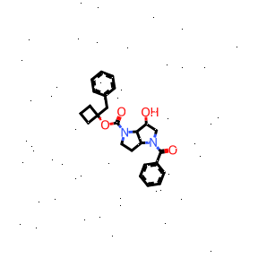 O=C(c1ccccc1)N1CC(O)C2C1CCN2C(=O)OC1(Cc2ccccc2)CCC1